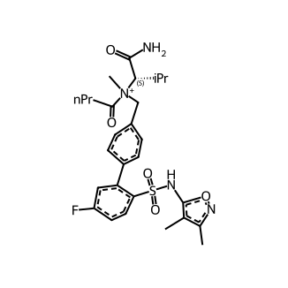 CCCC(=O)[N+](C)(Cc1ccc(-c2cc(F)ccc2S(=O)(=O)Nc2onc(C)c2C)cc1)[C@H](C(N)=O)C(C)C